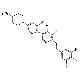 CCCC1CCC(c2ccc(-c3ccc(CCc4cc(F)c(F)c(F)c4)c(F)c3F)c(F)c2)CC1